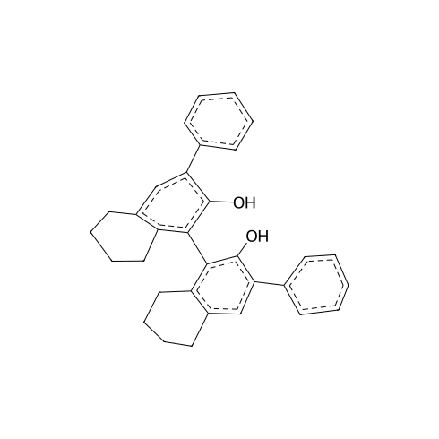 Oc1c(-c2ccccc2)cc2c(c1-c1c(O)c(-c3ccccc3)cc3c1CCCC3)CCCC2